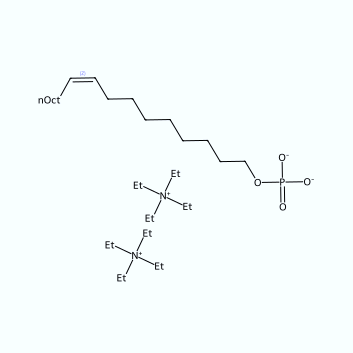 CCCCCCCC/C=C\CCCCCCCCOP(=O)([O-])[O-].CC[N+](CC)(CC)CC.CC[N+](CC)(CC)CC